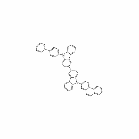 c1ccc(-c2ccc(-n3c4ccccc4c4cc(-c5ccc6c(c5)c5ccccc5n6-c5ccc6c(ccc7ccccc76)c5)ccc43)cc2)cc1